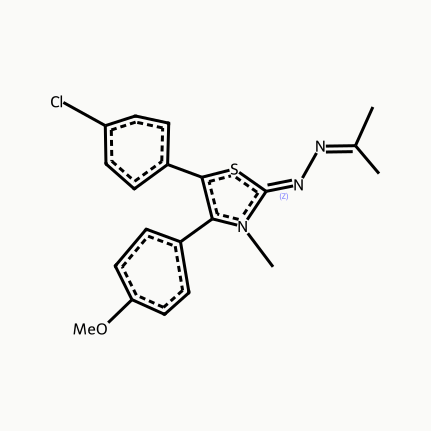 COc1ccc(-c2c(-c3ccc(Cl)cc3)s/c(=N\N=C(C)C)n2C)cc1